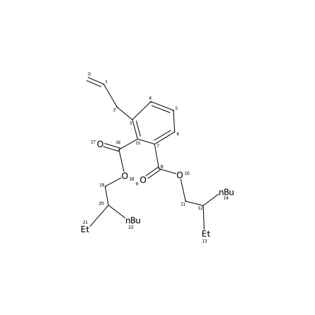 C=CCc1cccc(C(=O)OCC(CC)CCCC)c1C(=O)OCC(CC)CCCC